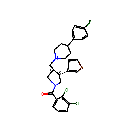 O=C(c1cccc(Cl)c1Cl)N1C[C@@H](CN2CCC(c3ccc(F)cc3)CC2)[C@H](c2ccsc2)C1